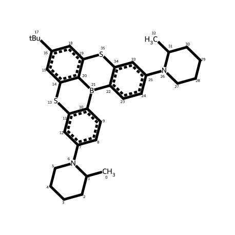 CC1CCCCN1c1ccc2c(c1)Sc1cc(C(C)(C)C)cc3c1B2c1ccc(N2CCCCC2C)cc1S3